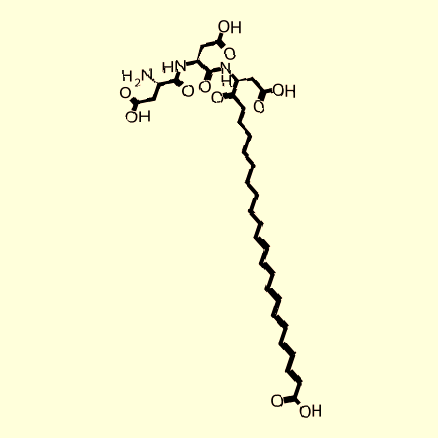 N[C@@H](CC(=O)O)C(=O)N[C@@H](CC(=O)O)C(=O)N[C@@H](CC(=O)O)C(=O)CCCCCCCCCC=CC=CC=CC=CC=CC=CC(=O)O